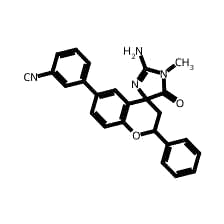 [C-]#[N+]c1cccc(-c2ccc3c(c2)C2(CC(c4ccccc4)O3)N=C(N)N(C)C2=O)c1